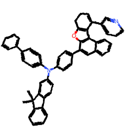 CC1(C)c2ccccc2-c2ccc(N(c3ccc(-c4ccccc4)cc3)c3ccc(-c4cc5ccccc5c5c6c(oc45)CCC=C6c4cccnc4)cc3)cc21